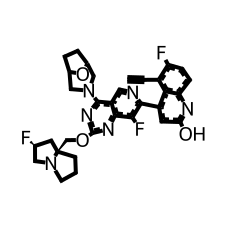 C#Cc1c(F)ccc2nc(O)cc(-c3ncc4c(N5CC6CCC(C5)O6)nc(OC[C@@]56CCCN5C[C@H](F)C6)nc4c3F)c12